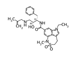 C=C(C)CNC[C@@H](O)[C@H](Cc1ccccc1)NC(=O)c1cc2c3c(cn(CC)c3c1)CCS(=O)(=O)N2C